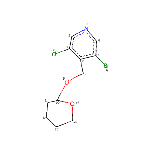 Clc1cncc(Br)c1COC1CCCCO1